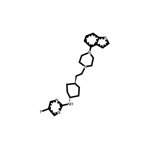 Fc1cnc(N[C@H]2CC[C@H](CCN3CCN(c4cccc5sccc45)CC3)CC2)nc1